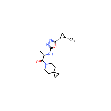 C[C@@H](Nc1nnc([C@@H]2C[C@@H]2C(F)(F)F)o1)C(=O)N1CCC2(CC1)CC2